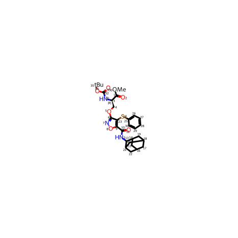 COC(=O)[C@@H](COc1noc(C(=O)NC2C3CC4CC(C3)CC2C4)c1Sc1ccccc1)NC(=O)OC(C)(C)C